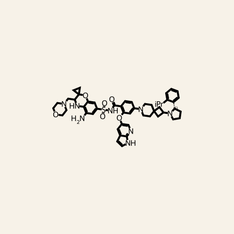 CC(C)c1ccccc1[C@@H]1CCCN1C1CC2(CCN(c3ccc(C(=O)NS(=O)(=O)c4cc(N)c5c(c4)OC4(CC4)C(CN4CCOCC4)N5)c(Oc4cnc5[nH]ccc5c4)c3)CC2)C1